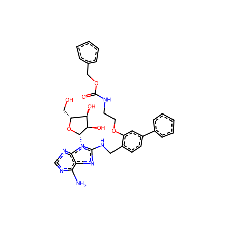 Nc1ncnc2c1nc(NCc1ccc(-c3ccccc3)cc1OCCNC(=O)OCc1ccccc1)n2[C@@H]1O[C@H](CO)[C@@H](O)[C@H]1O